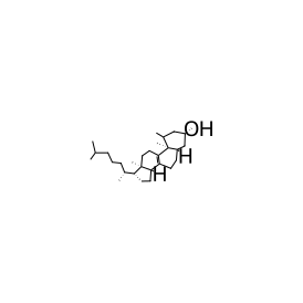 CC(C)CCC[C@@H](C)[C@H]1CC[C@H]2C3=C(CC[C@]12C)[C@@]1(C)C(C)C[C@H](O)C[C@@H]1CC3